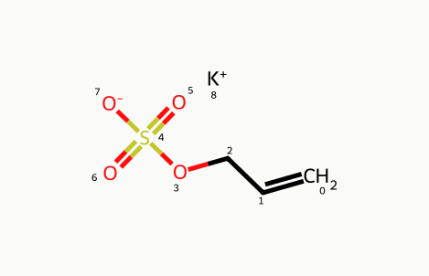 C=CCOS(=O)(=O)[O-].[K+]